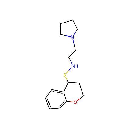 c1ccc2c(c1)OCCC2SNCCN1CCCC1